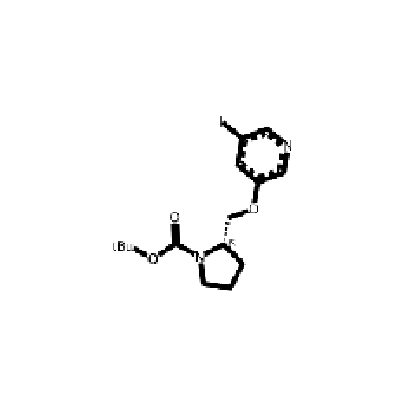 CC(C)(C)OC(=O)N1CCC[C@H]1COc1cncc(I)c1